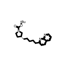 CC(C)(C)OC(=O)N1CC[C@@H](CCCCCc2ccc3cccnc3n2)C1